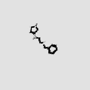 c1ccc(COCCO[C@@H]2CCOC2)cc1